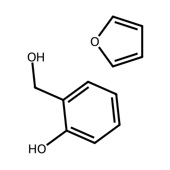 OCc1ccccc1O.c1ccoc1